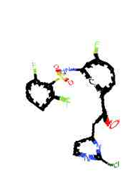 O=C(Cc1ccnc(Cl)n1)c1ccc(F)c(NS(=O)(=O)c2c(F)cccc2F)c1